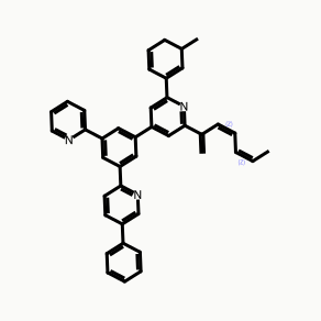 C=C(/C=C\C=C/C)c1cc(-c2cc(-c3ccccn3)cc(-c3ccc(-c4ccccc4)cn3)c2)cc(C2=CC(C)CC=C2)n1